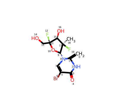 C=C1NC(=O)C(Br)=CN1[C@@H]1O[C@](F)(CO)[C@@H](O)[C@@]1(C)F